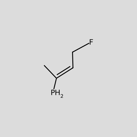 C/C(P)=C\CF